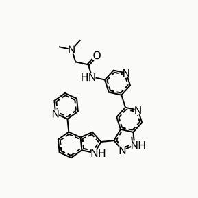 CN(C)CC(=O)Nc1cncc(-c2cc3c(-c4cc5c(-c6ccccn6)cccc5[nH]4)n[nH]c3cn2)c1